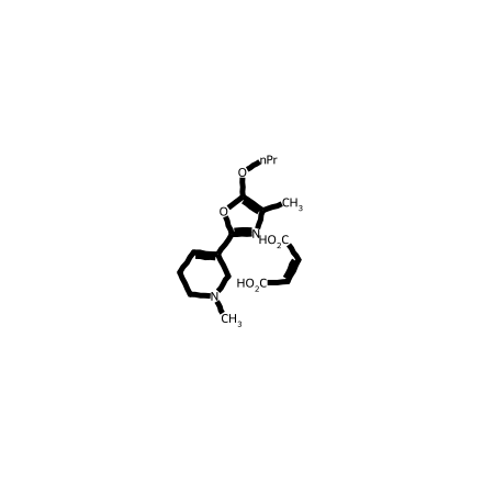 CCCOc1oc(C2=CCCN(C)C2)nc1C.O=C(O)/C=C\C(=O)O